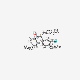 CCOC(=O)CC(C(=O)c1ccc(OC)cc1)c1ccc(OC)c(F)c1